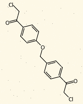 O=C(CCl)c1ccc(COc2ccc(C(=O)CCl)cc2)cc1